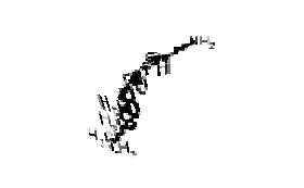 CC(C)CCCCC1CCC2C3CC=C4CC(OC(=O)CSSCC(=O)NCCCCCCN)CCC4(C)C3CCC12C